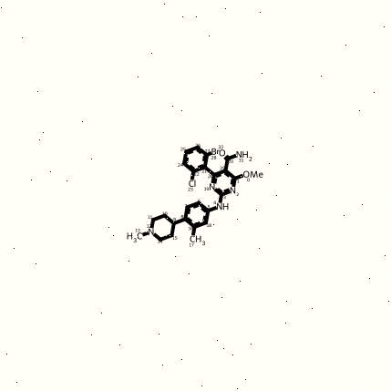 COc1nc(Nc2ccc(C3CCN(C)CC3)c(C)c2)nc(-c2c(Cl)cccc2Br)c1C(N)=O